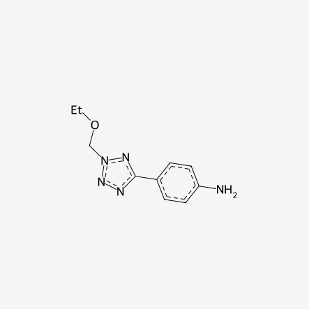 CCOCn1nnc(-c2ccc(N)cc2)n1